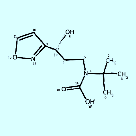 CC(C)(C)N(CC[C@@H](O)c1ccon1)C(=O)O